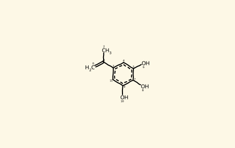 C=C(C)c1cc(O)c(O)c(O)c1